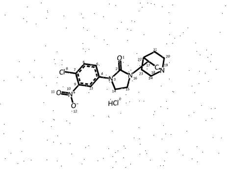 Cl.O=C1N(c2ccc(Cl)c([N+](=O)[O-])c2)CCN1C1CN2CCC1CC2